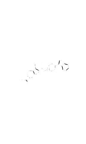 CCc1c(CCN2CCC(c3coc4cccc(C)c34)CC2)sc2c1CCN(C(C)=O)C2